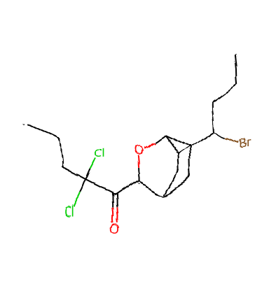 [CH2]CCC(Cl)(Cl)C(=O)[C]1OC2CCC1CC2C(Br)CCC